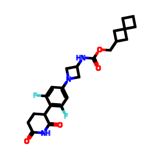 O=C1CCC(c2c(F)cc(N3CC(NC(=O)OCC4CC5(CCC5)C4)C3)cc2F)C(=O)N1